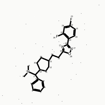 CN(C)C(c1ccccc1)C1CCC(CCc2nc(-c3ccc(F)cc3F)no2)CC1